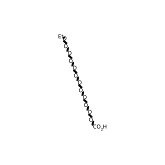 CCOCCOCCOCCOCCOCCOCCOCCOCCOCCOCCOCCOCCC(=O)O